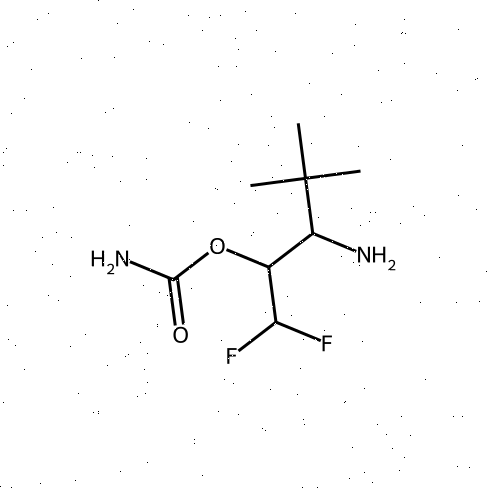 CC(C)(C)C(N)C(OC(N)=O)C(F)F